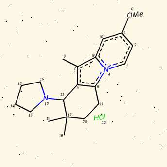 COc1ccn2c3c(c(C)c2c1)C(N1CCCC1)C(C)(C)CC3.Cl